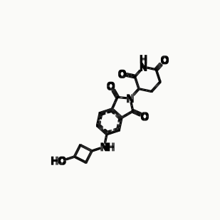 O=C1CCC(N2C(=O)c3ccc(NC4CC(O)C4)cc3C2=O)C(=O)N1